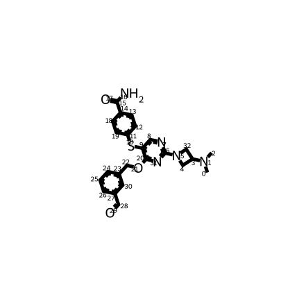 CN(C)C1CN(c2ncc(Sc3ccc(C(N)=O)cc3)c(OCc3cccc(C=O)c3)n2)C1